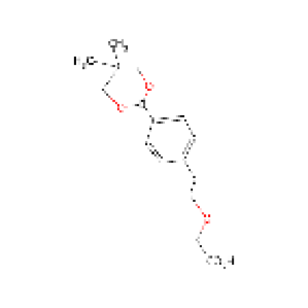 CC1(C)COB(c2ccc(CCOCC(=O)O)cc2)OC1